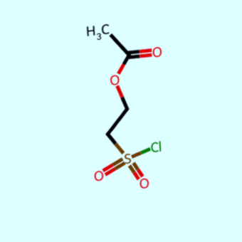 CC(=O)OCCS(=O)(=O)Cl